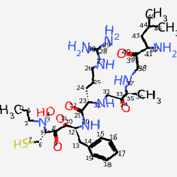 CCCN(O)[C@@H](CS)C(=O)C(=O)[C@H](Cc1ccccc1)NC(=O)[C@H](CCCNC(N)N)NCC(=O)[C@H](C)NCC(=O)C(N)CC(C)C